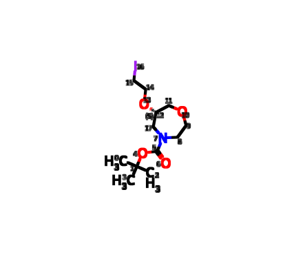 CC(C)(C)OC(=O)N1CCOC[C@@H](OCCI)C1